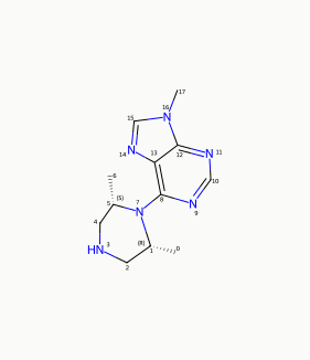 C[C@@H]1CNC[C@H](C)N1c1ncnc2c1ncn2C